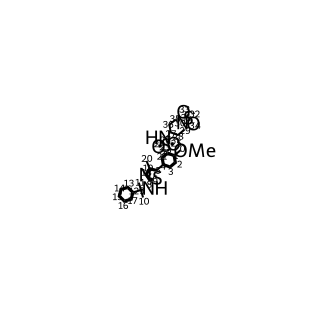 COc1ccc(-c2sc(NC(C)(C)c3ccccc3)nc2C)cc1S(=O)(=O)NC1CCN(S(C)(=O)=O)CC1